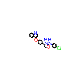 CC[C@H](NC(=O)Nc1ccc(Cl)cc1)C1CCC(Oc2ccnc3ccccc23)CC1